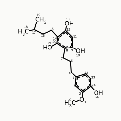 COc1cc(CCCc2c(O)cc(O)c(CCC(C)C)c2O)ccc1O